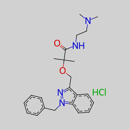 CN(C)CCNC(=O)C(C)(C)OCc1nn(Cc2ccccc2)c2ccccc12.Cl